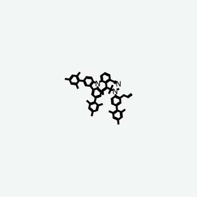 C=CCc1cc(-c2c(C)cc(C)cc2C)ccc1N(C)C(C)(C)/C(=C\C)c1c(C#N)cccc1-n1c2ccc(-c3c(C)cc(C)cc3C)cc2c2cc(-c3c(C)cc(C)cc3C)ccc21